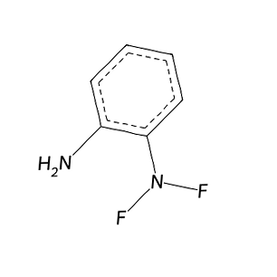 Nc1ccccc1N(F)F